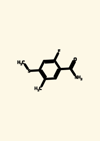 CSc1cc(F)c(C(N)=O)cc1C